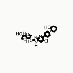 O[C@@H]1CO[C@H]2[C@@H]1OC[C@H]2Oc1nc2nc(-c3ccc([C@H]4CCCC[C@@H]4O)cc3)c(Cl)cc2[nH]1